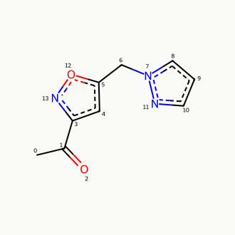 CC(=O)c1cc(Cn2cccn2)on1